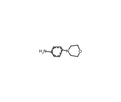 Nc1c[c]c(N2CCOCC2)cc1